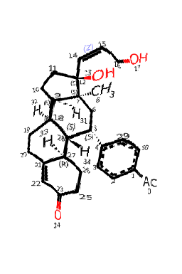 CC(=O)c1ccc([C@H]2C[C@@]3(C)[C@H](CC[C@]3(O)/C=C\CO)[C@@H]3CCC4=CC(=O)CC[C@@H]4[C@H]32)cc1